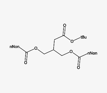 CCCCCCCCCC(=O)OCC(COC(=O)CCCCCCCCC)CC(=O)OC(C)(C)C